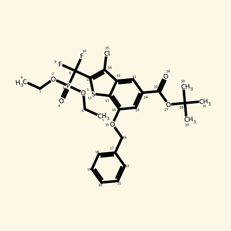 CCOP(=O)(OCC)C(F)(F)c1sc2c(OCc3ccccc3)cc(C(=O)OC(C)(C)C)cc2c1Cl